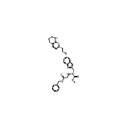 COC(=O)[C@H](Cn1cc2cc(OCCc3ccc4c(n3)NCCC4)ccc2n1)NCC(=O)OCc1ccccc1